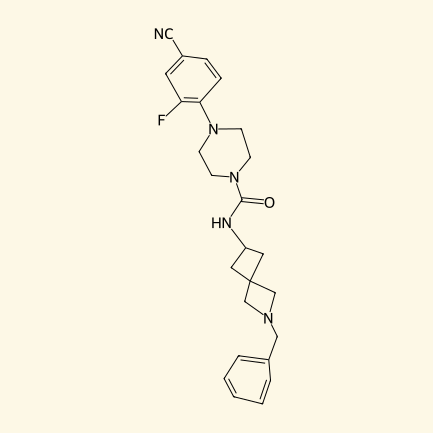 N#Cc1ccc(N2CCN(C(=O)NC3CC4(C3)CN(Cc3ccccc3)C4)CC2)c(F)c1